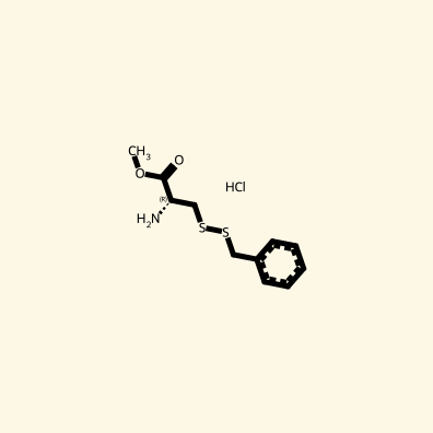 COC(=O)[C@@H](N)CSSCc1ccccc1.Cl